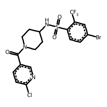 O=C(c1ccc(Cl)nc1)N1CCC(NS(=O)(=O)c2ccc(Br)cc2C(F)(F)F)CC1